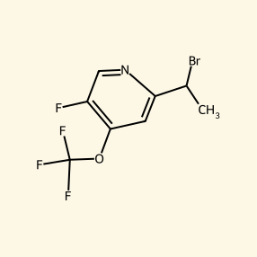 CC(Br)c1cc(OC(F)(F)F)c(F)cn1